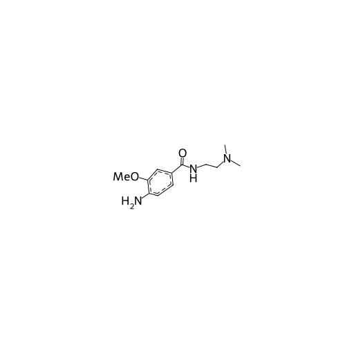 COc1cc(C(=O)NCCN(C)C)ccc1N